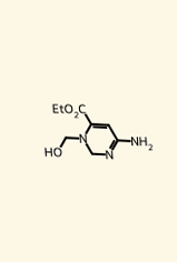 CCOC(=O)C1=CC(N)=NCN1CO